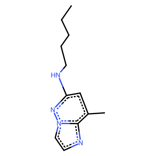 CCCCCNc1cc(C)c2nccn2n1